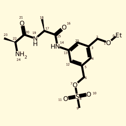 CCOCc1cc(COS(C)(=O)=O)cc(NC(=O)[C@H](C)NC(=O)[C@H](C)N)c1